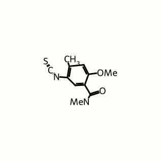 CNC(=O)c1cc(N=C=S)c(C)cc1OC